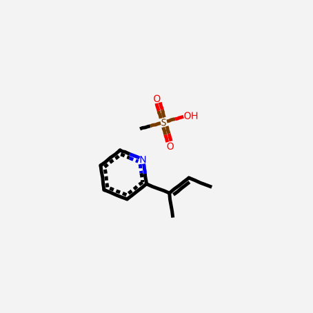 CC=C(C)c1ccccn1.CS(=O)(=O)O